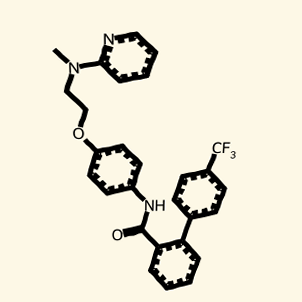 CN(CCOc1ccc(NC(=O)c2ccccc2-c2ccc(C(F)(F)F)cc2)cc1)c1ccccn1